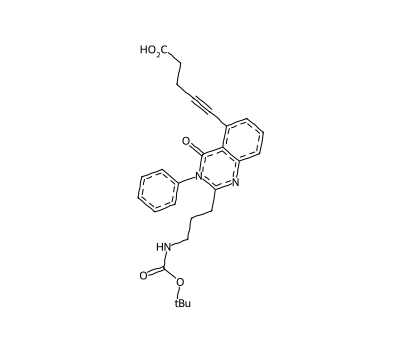 CC(C)(C)OC(=O)NCCCc1nc2cccc(C#CCCC(=O)O)c2c(=O)n1-c1ccccc1